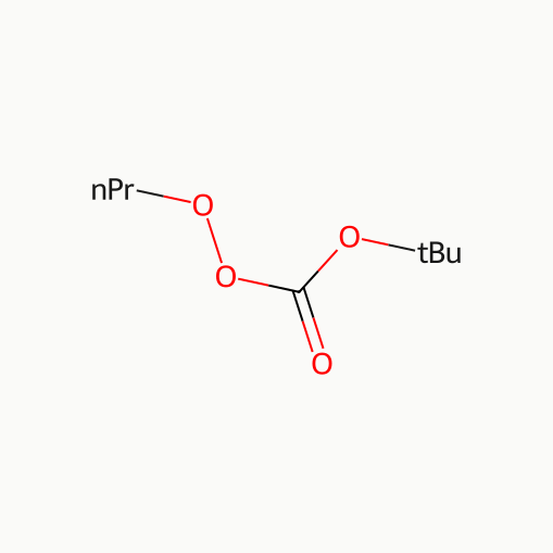 CCCOOC(=O)OC(C)(C)C